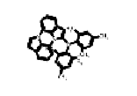 Cc1cc(C)c(B(c2c(C)cc(C)cc2C)c2cc3cccc4c3n2c2cccc3ccn4c32)c(C)c1